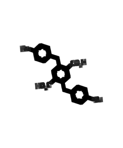 CCC(C)c1ccc(Cc2cc(C(=O)O)c(Cc3ccc(C(C)CC)cc3)cc2C(=O)O)cc1